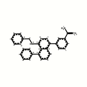 C=C(N)c1cncc(-c2nnc(NCc3ccccn3)c3c(-c4ccccc4)cccc23)c1